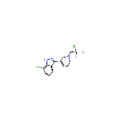 CC(F)(F)CN1CCC=C(c2n[nH]c3c(Cl)cccc23)C1